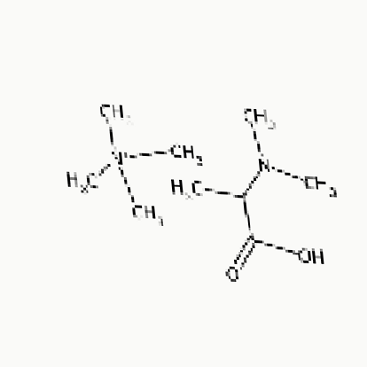 CC(C(=O)O)N(C)C.C[N+](C)(C)C